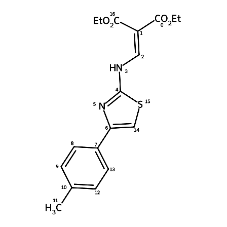 CCOC(=O)C(=CNc1nc(-c2ccc(C)cc2)cs1)C(=O)OCC